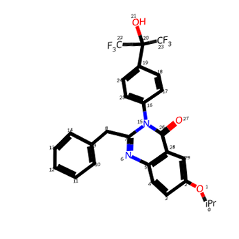 CC(C)Oc1ccc2nc(Cc3ccccc3)n(-c3ccc(C(O)(C(F)(F)F)C(F)(F)F)cc3)c(=O)c2c1